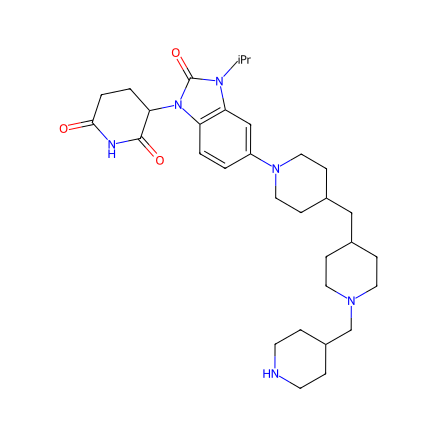 CC(C)n1c(=O)n(C2CCC(=O)NC2=O)c2ccc(N3CCC(CC4CCN(CC5CCNCC5)CC4)CC3)cc21